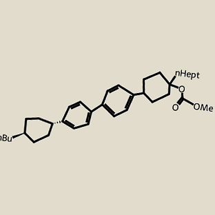 CCCCCCCC1(OC(=O)OC)CCC(c2ccc(-c3ccc([C@H]4CC[C@H](CCCC)CC4)cc3)cc2)CC1